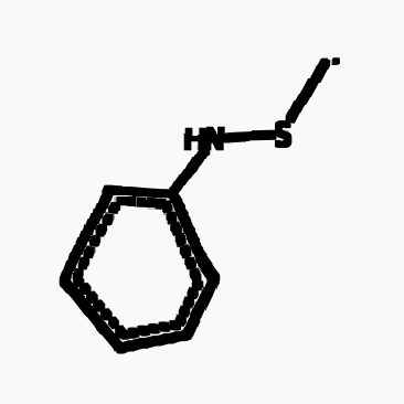 [CH2]SNc1ccccc1